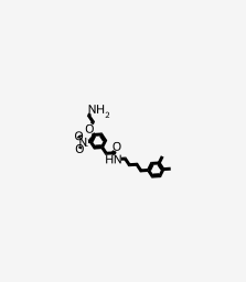 Cc1ccc(CCCCNC(=O)Cc2ccc(OCCN)c([N+](=O)[O-])c2)cc1C